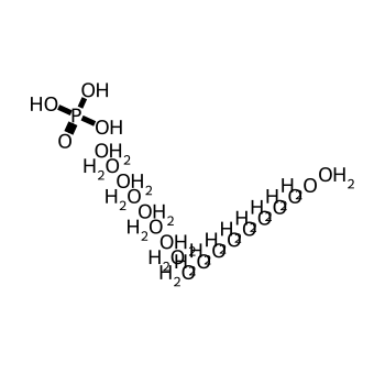 O.O.O.O.O.O.O.O.O.O.O.O.O.O.O.O.O.O.O=P(O)(O)O